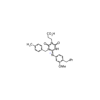 COc1cc(/N=c2\[nH]c(=O)n(CCC(=O)O)c(=O)n2Cc2ccc(C)cc2)ccc1CC(C)C